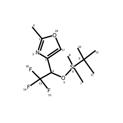 Cc1nc(C(O[Si](C)(C)C(C)(C)C)C(F)(F)F)co1